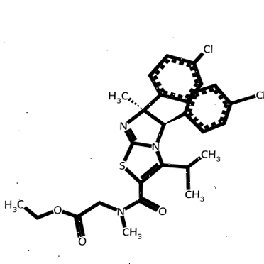 CCOC(=O)CN(C)C(=O)C1=C(C(C)C)N2C(=N[C@@](C)(c3ccc(Cl)cc3)[C@H]2c2ccc(Cl)cc2)S1